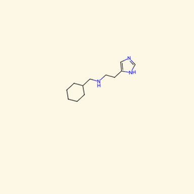 c1ncc(CCNCC2CCCCC2)[nH]1